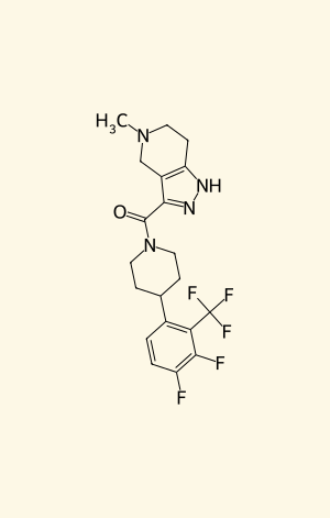 CN1CCc2[nH]nc(C(=O)N3CCC(c4ccc(F)c(F)c4C(F)(F)F)CC3)c2C1